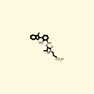 CC1=NN(CCCC(=O)O)C(=O)/C1=N\Nc1cccc(C2=C(C)c3ccccc3C2)c1O